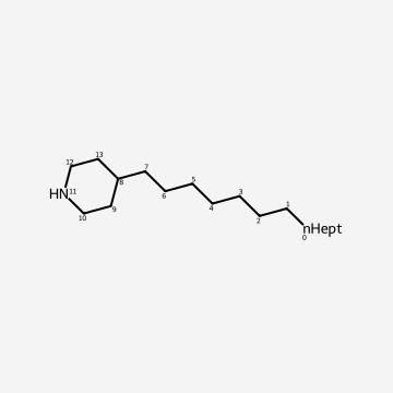 [CH2]CCCCCCCCCCCCCC1CCNCC1